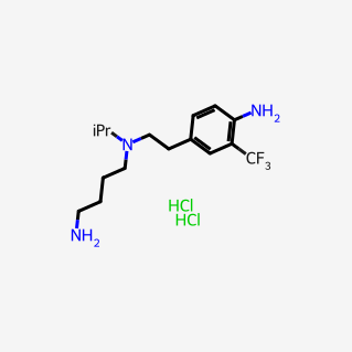 CC(C)N(CCCCN)CCc1ccc(N)c(C(F)(F)F)c1.Cl.Cl